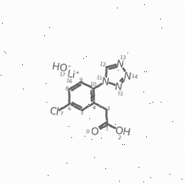 O=C(O)Cc1cc(Cl)ccc1-n1cnnn1.[Li+].[OH-]